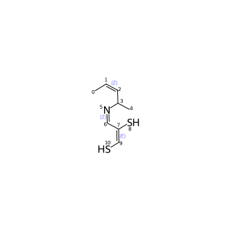 C/C=C\C(C)/N=C\C(S)=C/S